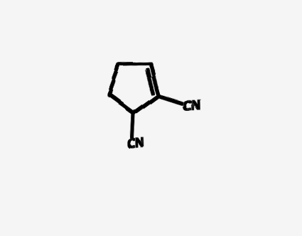 N#CC1=CCCC1C#N